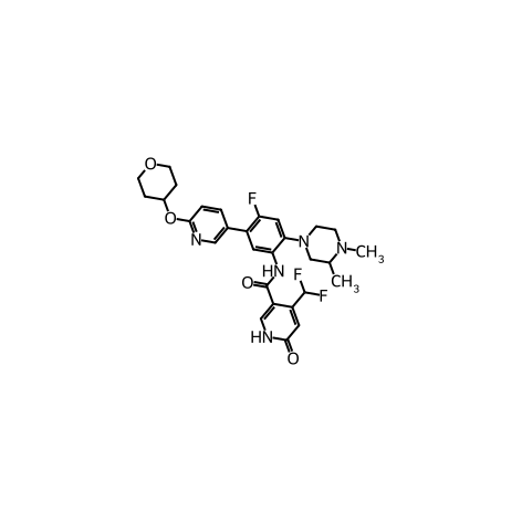 CC1CN(c2cc(F)c(-c3ccc(OC4CCOCC4)nc3)cc2NC(=O)c2c[nH]c(=O)cc2C(F)F)CCN1C